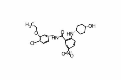 CCOc1cc(CNC(=O)c2cc([N+](=O)[O-])ccc2N[C@H]2CC[C@@H](O)CC2)ccc1Cl